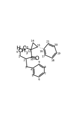 CCC(Cc1ccccc1)C(=O)C1(C)C[C@@H]1c1ccccc1